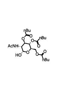 CCCCC(=O)OC[C@H]1O[C@H](O)[C@H](NC(C)=O)[C@@H](OC(=O)CCCC)[C@@H]1OC(=O)CCCC